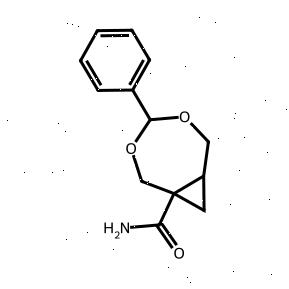 NC(=O)C12COC(c3ccccc3)OCC1C2